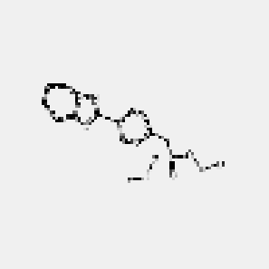 CCOOP(=O)(Cc1ccc(-c2nc3ccccc3o2)cc1)OOCC